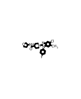 Cc1cc2c(cc1Cl)nc(N1CCC(C(=O)NC3CCOC3)CC1)n2-c1ccc(F)cc1